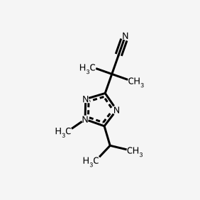 CC(C)c1nc(C(C)(C)C#N)nn1C